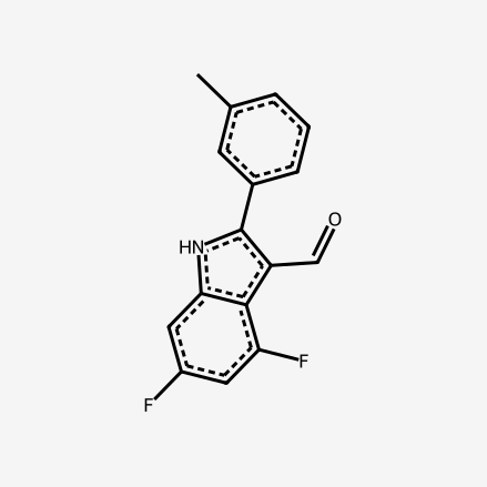 Cc1cccc(-c2[nH]c3cc(F)cc(F)c3c2C=O)c1